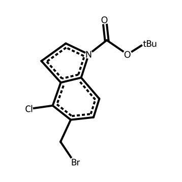 CC(C)(C)OC(=O)n1ccc2c(Cl)c(CBr)ccc21